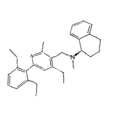 CCc1cc(-c2c(CC)cccc2CC)nc(C)c1CN(C)[C@@H]1CCCc2ccccc21